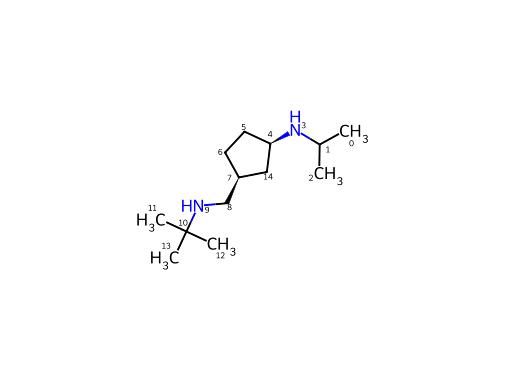 CC(C)N[C@@H]1CC[C@H](CNC(C)(C)C)C1